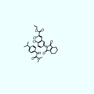 CC(C)c1ccc(NC(=O)N(C)C)cc1.CCOC(=O)/C(Cl)=C/c1cc(N2C(=O)C3=C(CCCC3)C2=O)ccc1Cl